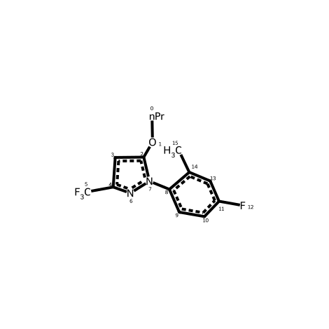 CCCOc1cc(C(F)(F)F)nn1-c1ccc(F)cc1C